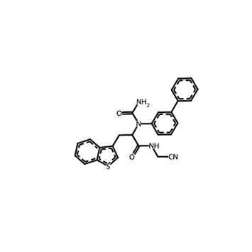 N#CCNC(=O)C(Cc1csc2ccccc12)N(C(N)=O)c1cccc(-c2ccccc2)c1